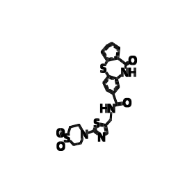 O=C(NCc1cnc(N2CCS(=O)(=O)CC2)s1)c1ccc2c(c1)NC(=O)c1ccccc1S2